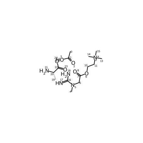 CC(=O)O.CN(CC(=O)OCC[N+](C)(C)C)C(=N)N.C[C@H](N)C(=O)[O-]